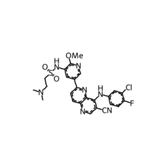 COc1ncc(-c2ccc3ncc(C#N)c(Nc4ccc(F)c(Cl)c4)c3n2)cc1NS(=O)(=O)CCN(C)C